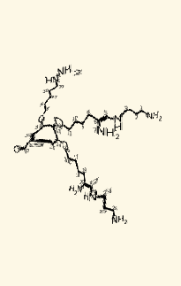 NCCCN/C=C(\N)CCCCOC1[C@@H](OCCCC/C(N)=C/NCCCN)C=C(C=O)C[C@H]1OCCCCCNN